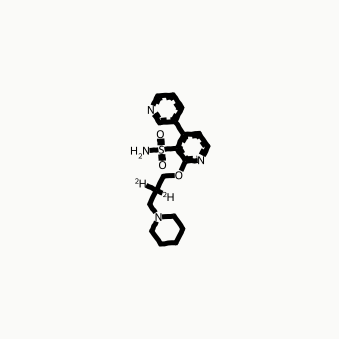 [2H]C([2H])(COc1nccc(-c2cccnc2)c1S(N)(=O)=O)CN1CCCCC1